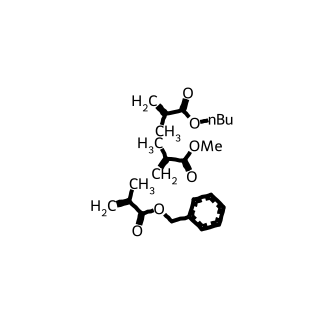 C=C(C)C(=O)OC.C=C(C)C(=O)OCCCC.C=C(C)C(=O)OCc1ccccc1